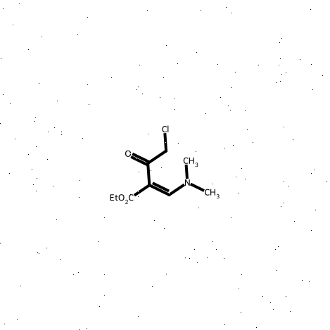 CCOC(=O)C(=CN(C)C)C(=O)CCl